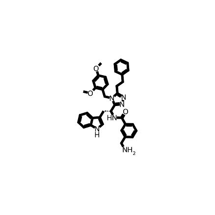 COc1ccc(Cn2c(CCc3ccccc3)nnc2[C@@H](Cc2c[nH]c3ccccc23)NC(=O)c2cccc(CN)c2)c(OC)c1